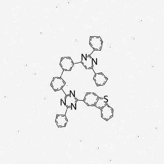 c1ccc(-c2cc(-c3cccc(-c4cccc(-c5nc(-c6ccccc6)nc(-c6ccc7sc8ccccc8c7c6)n5)c4)c3)nc(-c3ccccc3)n2)cc1